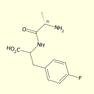 C[C@H](N)C(=O)NC(Cc1ccc(F)cc1)C(=O)O